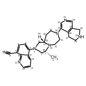 C[C@@H]1CN(c2ccc(C#N)c3ncccc23)C[C@@H]2CCN(c3cncc4c3CCNC4)CCN21